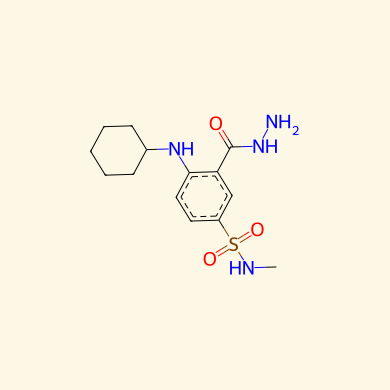 CNS(=O)(=O)c1ccc(NC2CCCCC2)c(C(=O)NN)c1